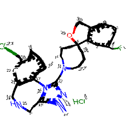 Cl.Fc1ccc2c(c1)C1(CCN(c3nnc4n3-c3ccc(Cl)cc3CNC4)CC1)OC2